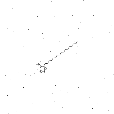 CCCCCCCCCCCCCCCCCC(=O)C(C(C)O)N(C)C